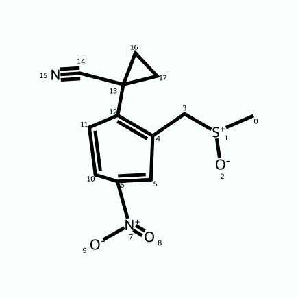 C[S+]([O-])Cc1cc([N+](=O)[O-])ccc1C1(C#N)CC1